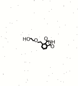 O=C1NC(=O)c2c(CCOCCO)cccc21